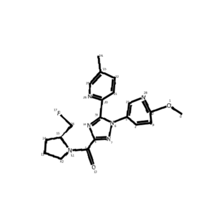 COc1ccc(-n2nc(C(=O)N3CCC[C@H]3CF)nc2-c2ccc(C)cn2)cn1